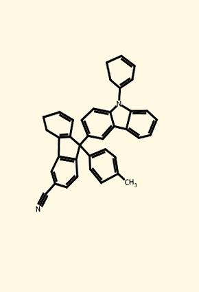 Cc1ccc(C2(c3ccc4c(c3)c3ccccc3n4C3=CC=CCC3)C3=C(CCC=C3)c3cc(C#N)ccc32)cc1